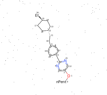 CCCCCOc1cnc(-c2ccc(CC[C@H]3CC[C@H](CC)CC3)cc2)nc1